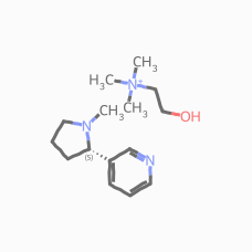 CN1CCC[C@H]1c1cccnc1.C[N+](C)(C)CCO